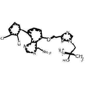 CC(C)(O)Cn1cnc(COc2ccc(-c3cccc(Cl)c3Cl)c3ncnc(N)c23)n1